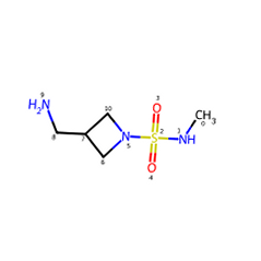 CNS(=O)(=O)N1CC(CN)C1